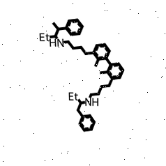 CCC(Cc1ccccc1)NCCCCc1cccc(-c2cccc(CCCCNC(CC)C(C)c3ccccc3)c2C)c1C